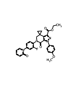 CCOC(=O)c1nn(-c2ccc(OC)cc2)c2c1C1(CC1)CN(c1ccc(-n3ccccc3=O)cc1F)C2=O